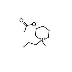 CC(=O)[O-].CCC[N+]1(C)CCCCC1